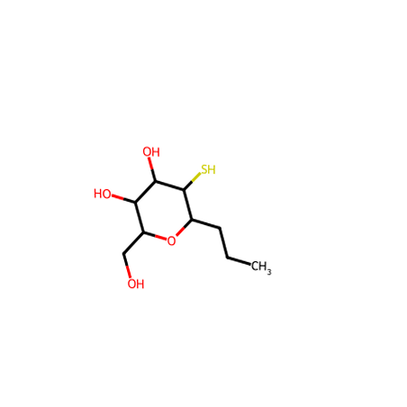 CCCC1OC(CO)C(O)C(O)C1S